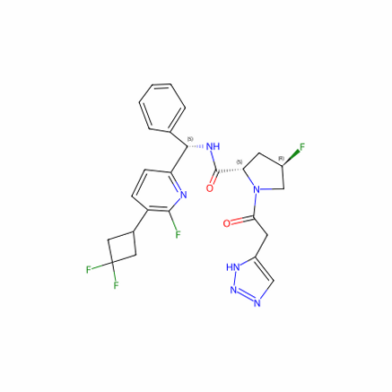 O=C(N[C@@H](c1ccccc1)c1ccc(C2CC(F)(F)C2)c(F)n1)[C@@H]1C[C@@H](F)CN1C(=O)Cc1cnn[nH]1